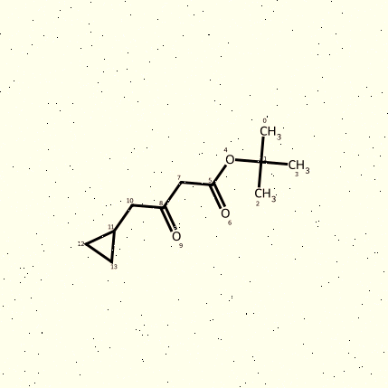 CC(C)(C)OC(=O)CC(=O)CC1CC1